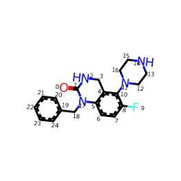 O=C1NCc2c(ccc(F)c2N2CCNCC2)N1Cc1ccccc1